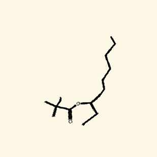 CCCCCC[C](CC)OC(=O)C(C)(C)C